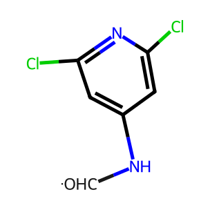 O=[C]Nc1cc(Cl)nc(Cl)c1